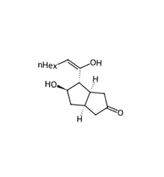 CCCCCC/C=C(/O)[C@@H]1[C@H]2CC(=O)C[C@H]2C[C@H]1O